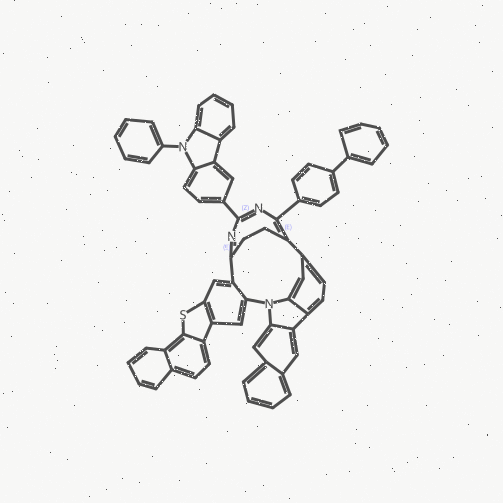 c1ccc(-c2ccc(C3=C4/CC\C(=N/C(c5ccc6c(c5)c5ccccc5n6-c5ccccc5)=N\3)c3cc5sc6c7ccccc7ccc6c5cc3-n3c5cc4ccc5c4cc5ccccc5cc43)cc2)cc1